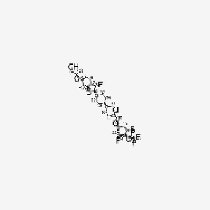 CCCOc1ccc2c(F)c(C3CCC(C4CCC(COc5cc(F)c(OC(F)(F)F)c(F)c5)OC4)CC3)sc2c1